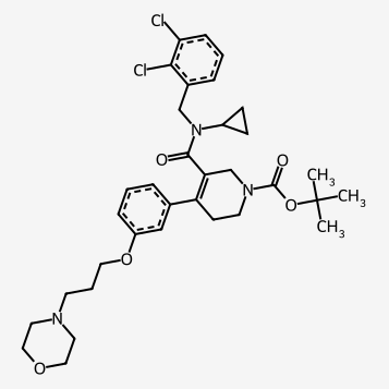 CC(C)(C)OC(=O)N1CCC(c2cccc(OCCCN3CCOCC3)c2)=C(C(=O)N(Cc2cccc(Cl)c2Cl)C2CC2)C1